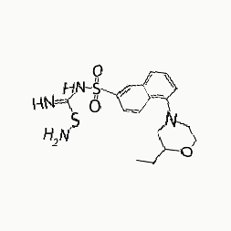 CCC1CN(c2cccc3cc(S(=O)(=O)NC(=N)SN)ccc23)CCO1